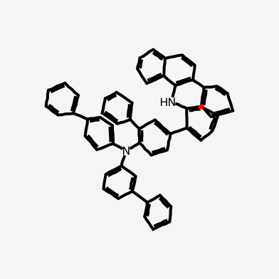 c1ccc(-c2ccc(N(c3cccc(-c4ccccc4)c3)c3ccc(-c4ccccc4Nc4c(-c5ccccc5)ccc5ccccc45)cc3-c3ccccc3)cc2)cc1